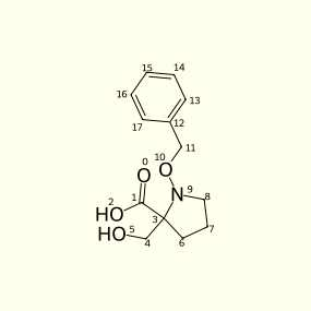 O=C(O)C1(CO)CCCN1OCc1ccccc1